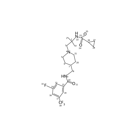 CC(C)(CN1CCC(CNC(=O)c2cc(F)cc(C(F)(F)F)c2)CC1)NS(=O)(=O)C1CC1